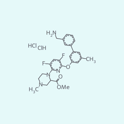 COC(=O)C1CN(C)CCN1c1nc(Oc2cc(C)cc(-c3cccc(CN)c3)c2)c(F)cc1F.Cl.Cl